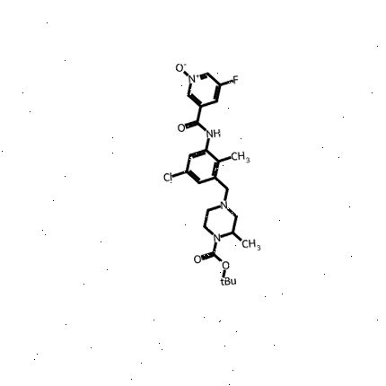 Cc1c(CN2CCN(C(=O)OC(C)(C)C)C(C)C2)cc(Cl)cc1NC(=O)c1cc(F)c[n+]([O-])c1